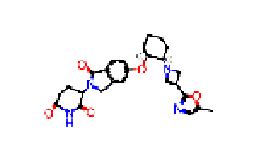 Cc1cnc(C2CN([C@H]3CCCC[C@@H]3Oc3ccc4c(c3)CN(C3CCC(=O)NC3=O)C4=O)C2)o1